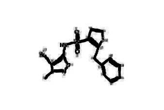 Cc1noc(NS(=O)(=O)c2ccsc2Cc2ccccc2)c1Br